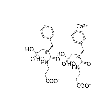 O=C([O-])CCNC(=O)[C@H](Cc1ccccc1)CP(=O)(O)O.O=C([O-])CCNC(=O)[C@H](Cc1ccccc1)CP(=O)(O)O.[Ca+2]